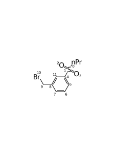 CCCS(=O)(=O)c1cccc(CBr)c1